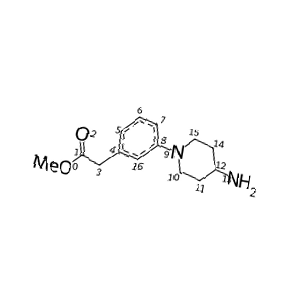 COC(=O)Cc1cccc(N2CCC(N)CC2)c1